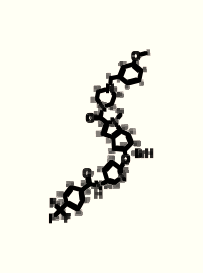 Br.COc1cccc(CN2CCN(C(=O)c3cc4cc(Oc5ccc(NC(=O)c6ccc(C(F)(F)F)cc6)cn5)ccc4n3C)CC2)c1